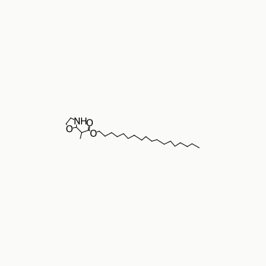 CCCCCCCCCCCCCCCCCCOC(=O)C(C)C1NCCO1